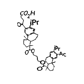 CC(=O)c1cc2c(cc1C(C)C)CCC1C(C)(C(=O)OCCCOC(=O)C3(C)CCCC4(C)c5cc(C(=O)CCC(=O)O)c(C(C)C)cc5CCC34)CCCC21C